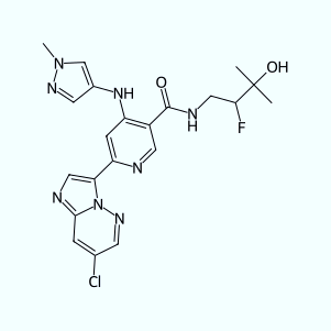 Cn1cc(Nc2cc(-c3cnc4cc(Cl)cnn34)ncc2C(=O)NCC(F)C(C)(C)O)cn1